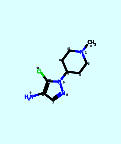 CN1CCC(n2ncc(N)c2Cl)CC1